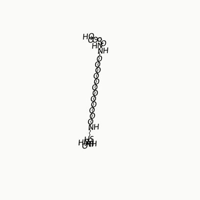 O=C(O)COc1cccc(C(=O)NCCNCCCOCCOCCOCCOCCOCCOCCOCCOCCOCCOCCOCCOCCNCCCCC[C@@H]2SC[C@@H]3NC(=O)N[C@@H]32)c1